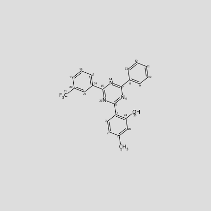 Cc1ccc(-c2nc(-c3ccccc3)nc(-c3cccc(C(F)(F)F)c3)n2)c(O)c1